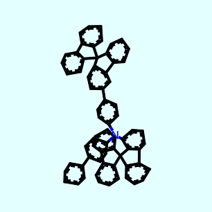 c1ccc(-c2ccc(N(c3ccc(-c4ccc5c(c4)-c4ccccc4C54c5ccccc5-c5ccccc54)cc3)c3cccc4c3C3(c5ccccc5-c5ccccc53)c3ccccc3-4)cc2)cc1